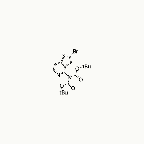 CC(C)(C)OC(=O)N(C(=O)OC(C)(C)C)c1nccc2sc(Br)cc12